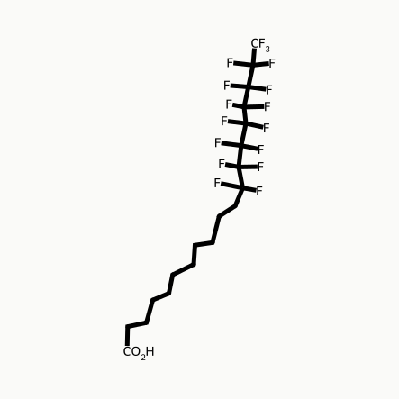 O=C(O)CCCCCCCCCCC(F)(F)C(F)(F)C(F)(F)C(F)(F)C(F)(F)C(F)(F)C(F)(F)C(F)(F)F